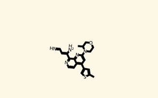 Cc1cc(-c2cc(N3CCOCC3C)nc3c(/C(N)=C/C=N)nccc23)cs1